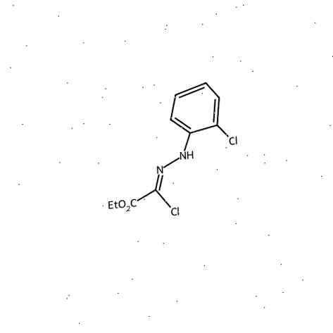 CCOC(=O)C(Cl)=NNc1ccccc1Cl